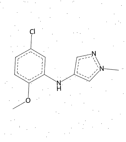 COc1ccc(Cl)cc1Nc1cnn(C)c1